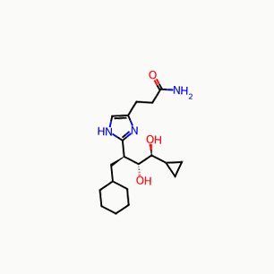 NC(=O)CCc1c[nH]c([C@H](CC2CCCCC2)[C@@H](O)[C@@H](O)C2CC2)n1